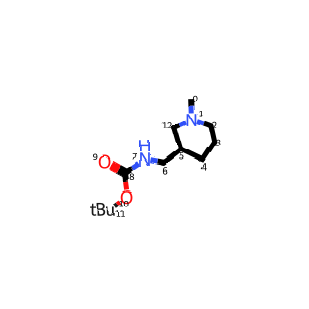 CN1CCCC(CNC(=O)OC(C)(C)C)C1